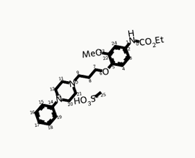 CCOC(=O)Nc1ccc(OCCCN2CCN(c3ccccc3)CC2)c(OC)c1.CS(=O)(=O)O